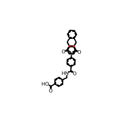 O=C(O)c1ccc(CNC(=O)c2ccc(N3C(=O)C4=C(C3=O)C3c5ccccc5C4c4ccccc43)cc2)cc1